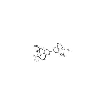 CCOc1c(C)cc(-c2ccc3c(c2)OCC(C)(C)C3NC(=O)O)cc1C